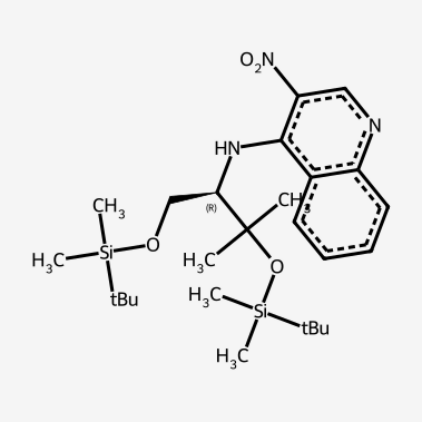 CC(C)(O[Si](C)(C)C(C)(C)C)[C@@H](CO[Si](C)(C)C(C)(C)C)Nc1c([N+](=O)[O-])cnc2ccccc12